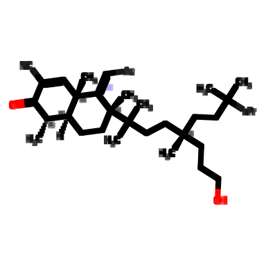 CCCC(C)(C)CC[C@](C)(CCCO)CCC(C)(C)[C@]1(C)CC[C@H]2[C@H](C)C(=O)C(C#N)=C[C@]2(C)/C1=C/C(C)=O